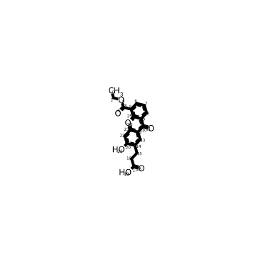 CCOC(=O)c1cccc2c(=O)c3cc(CCC(=O)O)c(O)cc3oc12